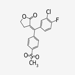 CS(=O)(=O)c1ccc(C(=C2CCOC2=O)c2ccc(F)c(Cl)c2)cc1